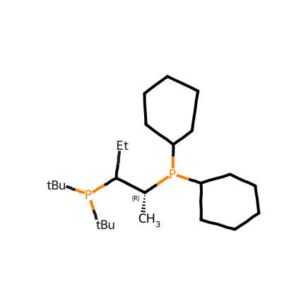 CCC([C@@H](C)P(C1CCCCC1)C1CCCCC1)P(C(C)(C)C)C(C)(C)C